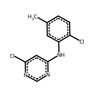 Cc1ccc(Cl)c(Nc2cc(Cl)ncn2)c1